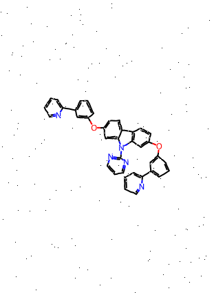 c1ccc(-c2cccc(Oc3ccc4c5ccc(Oc6cccc(-c7ccccn7)c6)cc5n(-c5ncccn5)c4c3)c2)nc1